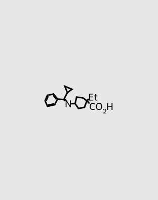 CCC1(C(=O)O)CCC(N=C(c2ccccc2)C2CC2)CC1